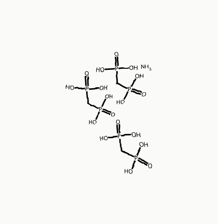 N.O=P(O)(O)CP(=O)(O)O.O=P(O)(O)CP(=O)(O)O.O=P(O)(O)CP(=O)(O)O